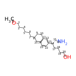 COCCCCCCC1CCc2cc([C@H](CN)CCCCO)ccc2C1